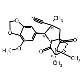 COc1cc([C@@H]2N3C(=O)[C@]4(C)SSC3(C[C@]2(C)C#N)C(=O)N4C)cc2c1OCO2